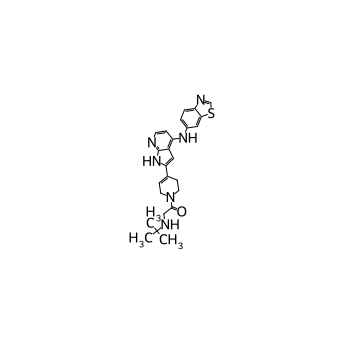 CC(C)(C)NCC(=O)N1CC=C(c2cc3c(Nc4ccc5ncsc5c4)ccnc3[nH]2)CC1